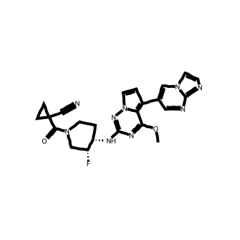 COc1nc(N[C@H]2CCN(C(=O)C3(C#N)CC3)C[C@H]2F)nn2ccc(-c3cnc4nccn4c3)c12